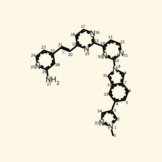 Cn1cc(-c2ccc3cn(-c4nccc(-c5nccc(/C=C/c6ccnc(N)c6)n5)n4)cc3c2)cn1